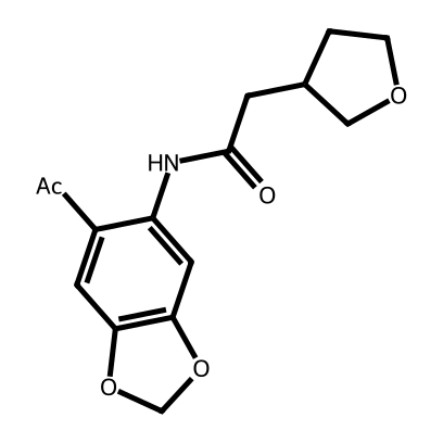 CC(=O)c1cc2c(cc1NC(=O)CC1CCOC1)OCO2